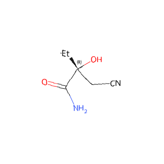 C[CH][C@@](O)(CC#N)C(N)=O